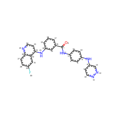 O=C(Nc1ccc(Nc2ccnnc2)cc1)c1cccc(Nc2ccnc3ccc(F)cc23)c1